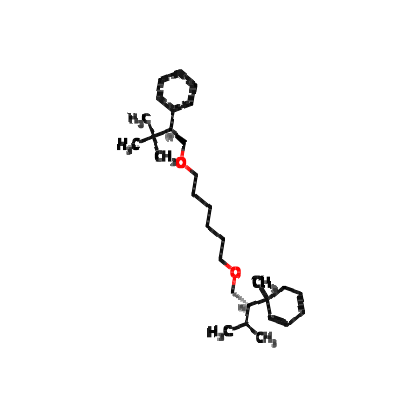 CC(C)[C@H](COCCCCCCOC[C@H](c1ccccc1)C(C)(C)C)C1(C)C=CC=CC1